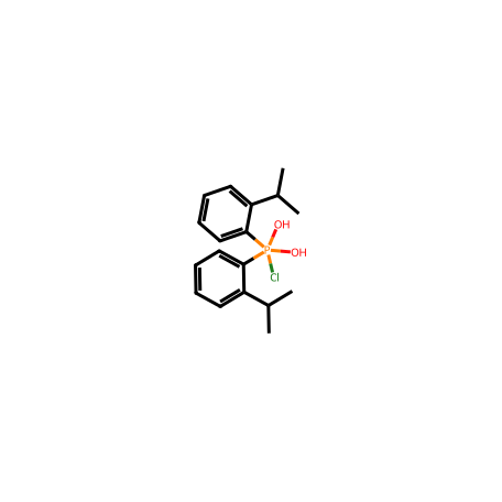 CC(C)c1ccccc1P(O)(O)(Cl)c1ccccc1C(C)C